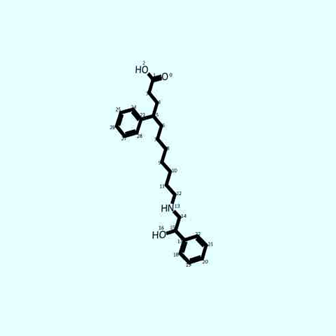 O=C(O)CCC(CCCCCCCNCC(O)c1ccccc1)c1ccccc1